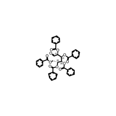 O=C[C@@H](OC(=O)c1ccccc1)[C@@H](OC(=O)c1ccccc1)[C@H](OC(=O)c1ccccc1)[C@@H](COC(=O)c1ccccc1)OC(=O)c1ccccc1